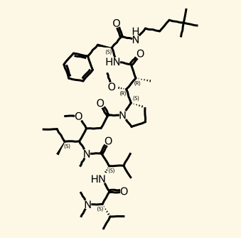 CC[C@H](C)C(C(CC(=O)N1CCC[C@H]1[C@H](OC)[C@@H](C)C(=O)N[C@@H](Cc1ccccc1)C(=O)NCCCC(C)(C)C)OC)N(C)C(=O)[C@@H](NC(=O)[C@H](C(C)C)N(C)C)C(C)C